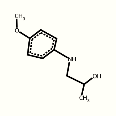 COc1ccc(NCC(C)O)cc1